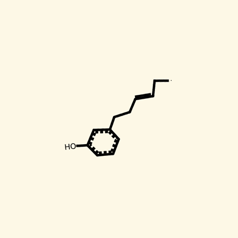 [CH2]C/C=C/CCc1cccc(O)c1